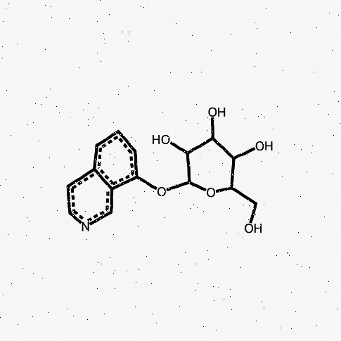 OCC1OC(Oc2cccc3ccncc23)C(O)C(O)C1O